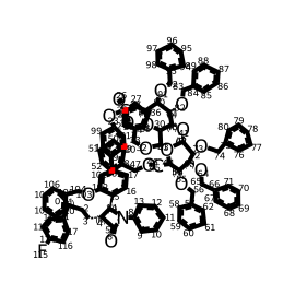 C[C@@H](CC[C@H]1C(=O)N(c2ccccc2)[C@@H]1c1ccc(-c2ccc(OS(=O)(=O)C[C@@H]3OC(COCc4ccccc4)[C@@H](O[C@@H]4OC(COCc5ccccc5)[C@@H](OCc5ccccc5)[C@@H](OCc5ccccc5)C4OCc4ccccc4)[C@@H](OCc4ccccc4)C3OCc3ccccc3)cc2)cc1OCc1ccccc1)c1ccc(F)cc1